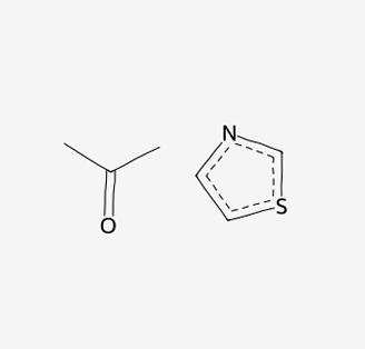 CC(C)=O.c1cscn1